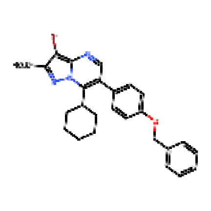 O=C(O)c1nn2c(C3CCCCC3)c(-c3ccc(OCc4ccccc4)cc3)cnc2c1Br